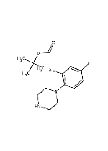 CC(C)(C)OC=O.Fc1ccc(N2CCNCC2)c(Br)c1